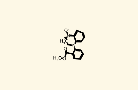 CCN(c1ccccc1C(=O)OC)c1ccccc1[N+](=O)[O-]